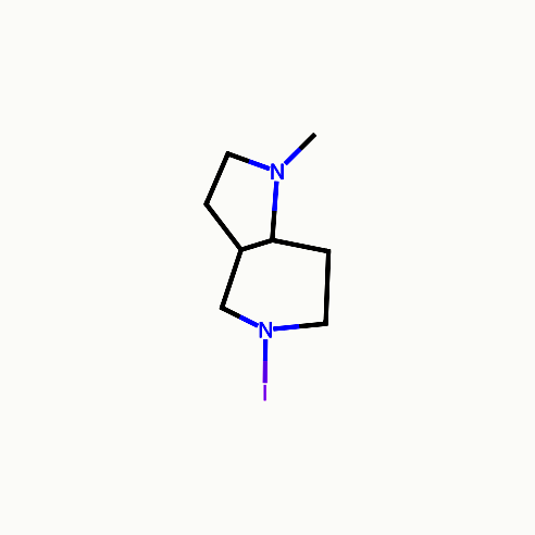 CN1CCC2CN(I)CCC21